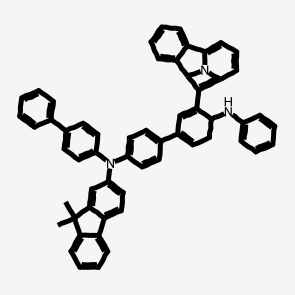 CC1(C)c2ccccc2-c2ccc(N(c3ccc(C4=CCC(Nc5ccccc5)C(C5=C6C=CC=C7c8ccccc8C5N76)=C4)cc3)c3ccc(-c4ccccc4)cc3)cc21